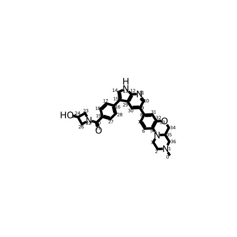 CN1CCN2c3ccc(-c4cnc5[nH]cc(-c6ccc(C(=O)N7CC(O)C7)cc6)c5c4)cc3OCC2C1